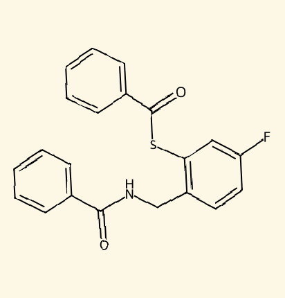 O=C(NCc1ccc(F)cc1SC(=O)c1ccccc1)c1ccccc1